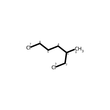 CC(CCl)C[CH]CCl